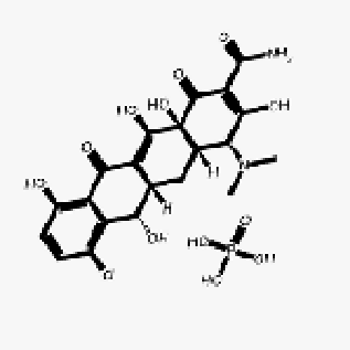 CN(C)[C@@H]1C(O)=C(C(N)=O)C(=O)[C@@]2(O)C(O)=C3C(=O)c4c(O)ccc(Cl)c4[C@@H](O)[C@H]3C[C@@H]12.O=P(O)(O)O